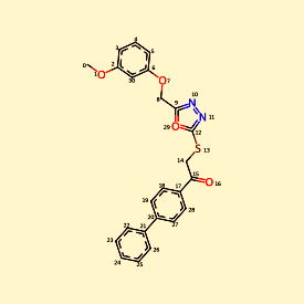 COc1cccc(OCc2nnc(SCC(=O)c3ccc(-c4ccccc4)cc3)o2)c1